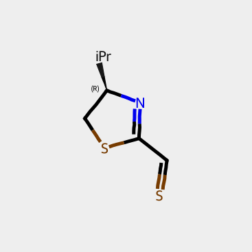 CC(C)[C@@H]1CSC(C=S)=N1